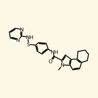 Cn1c(C(=O)Nc2ccc(SNc3ncccn3)cc2)cc2c3c(ccc21)CCCC3